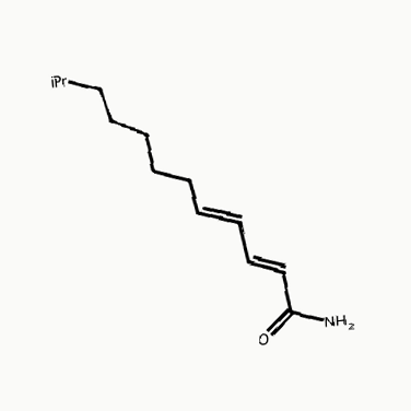 CC(C)CCCCCC=CC=CC(N)=O